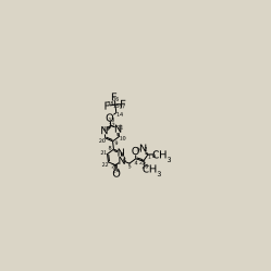 Cc1noc(Cn2nc(-c3cnc(OCC(F)(F)F)nc3)ccc2=O)c1C